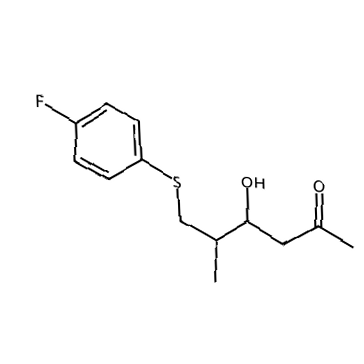 CC(=O)CC(O)C(C)CSc1ccc(F)cc1